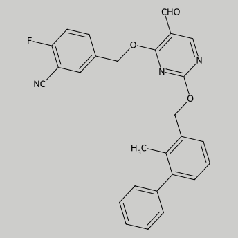 Cc1c(COc2ncc(C=O)c(OCc3ccc(F)c(C#N)c3)n2)cccc1-c1ccccc1